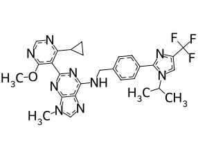 COc1ncnc(C2CC2)c1-c1nc(NCc2ccc(-c3nc(C(F)(F)F)cn3C(C)C)cc2)c2ncn(C)c2n1